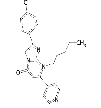 CCCCCn1c(-c2ccncc2)cc(=O)n2cc(-c3ccc(Cl)cc3)nc12